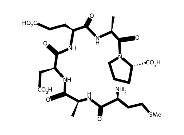 CSCC[C@H](N)C(=O)N[C@@H](C)C(=O)N[C@@H](CC(=O)O)C(=O)N[C@@H](CCC(=O)O)C(=O)N[C@@H](C)C(=O)N1CCC[C@H]1C(=O)O